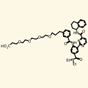 CCN(CC)C(=O)c1ccc(NC(=O)c2cccc(CCCOCCOCCOCCOCCC(=O)O)c2)c(-c2nccc(C(=O)N[C@H]3CCCc4ccccc43)n2)c1